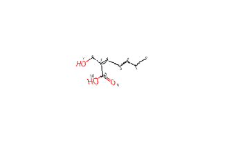 CCCCC=C(CO)C(=O)O